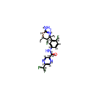 C[C@H]1SC(N)=N[C@](C)(c2cc(NC(=O)c3cnc(C(F)F)cn3)ccc2F)[C@H]1F